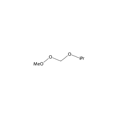 COOCOC(C)C